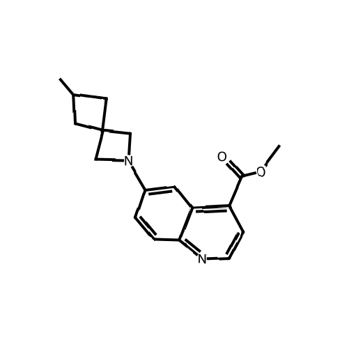 COC(=O)c1ccnc2ccc(N3CC4(CC(C)C4)C3)cc12